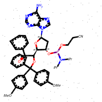 COc1ccc(C(OC(C(=O)c2ccccc2)[C@H]2O[C@@H](n3cnc4c(N)ncnc43)C[C@@H]2OP(OCCC#N)N(C(C)C)C(C)C)(c2ccccc2)c2ccc(OC)cc2)cc1